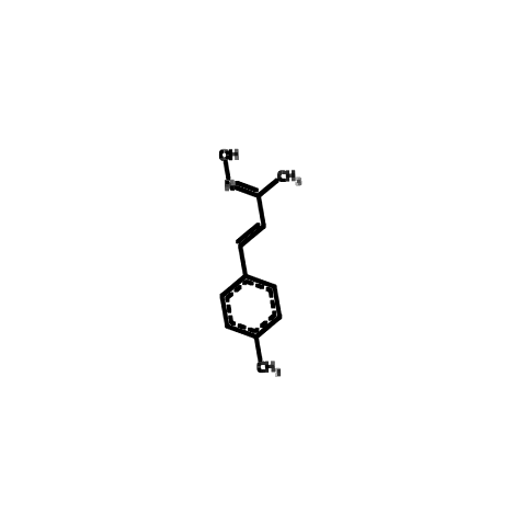 CC(C=Cc1ccc(C)cc1)=NO